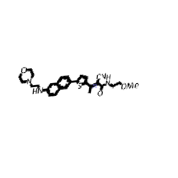 COCCNC(=O)/C(C#N)=C(\C)c1ccc(-c2ccc3cc(NCCN4CCOCC4)ccc3c2)s1